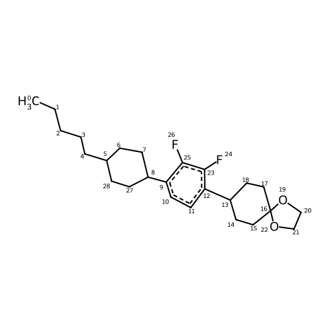 CCCCCC1CCC(c2ccc(C3CCC4(CC3)OCCO4)c(F)c2F)CC1